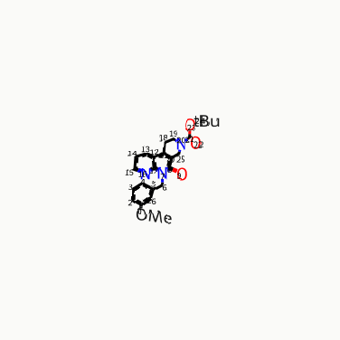 COc1cccc(Cn2c(=O)c3c(c4cccnc42)CCN(C(=O)OC(C)(C)C)C3)c1